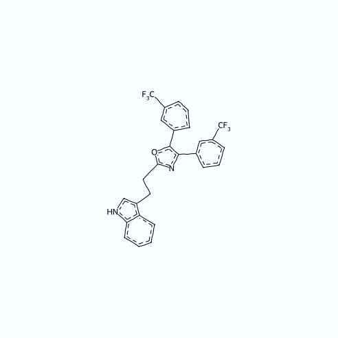 FC(F)(F)c1cccc(-c2nc(CCc3c[nH]c4ccccc34)oc2-c2cccc(C(F)(F)F)c2)c1